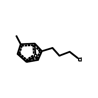 Cc1cc2cc(CCCCl)c1o2